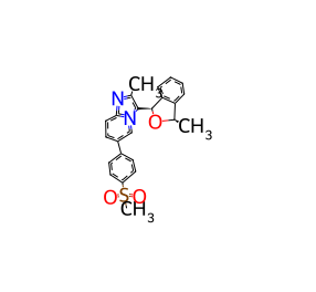 Cc1nc2ccc(-c3ccc(S(C)(=O)=O)cc3)cn2c1[C@@H]1O[C@H](C)c2ccccc21